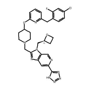 Fc1cc(Cl)ccc1Cc1cccc(OC2CCN(Cc3nc4cc(-c5nnn[nH]5)ncc4n3C[C@@H]3CCO3)CC2)n1